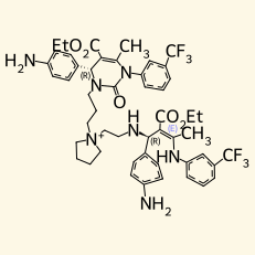 CCOC(=O)C1=C(C)N(c2cccc(C(F)(F)F)c2)C(=O)N(CCC[N+]2(CCN[C@@H](/C(C(=O)OCC)=C(/C)Nc3cccc(C(F)(F)F)c3)c3ccc(N)cc3)CCCC2)[C@@H]1c1ccc(N)cc1